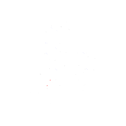 COc1ccc(CN(Cc2ccc(OC)cc2)c2c(F)c(-c3cnc4c(c3C)N(C(=O)OC(C)(C)C)CCO4)cc3nc(Nc4cnn(C5CC5)c4Cl)ncc23)cc1